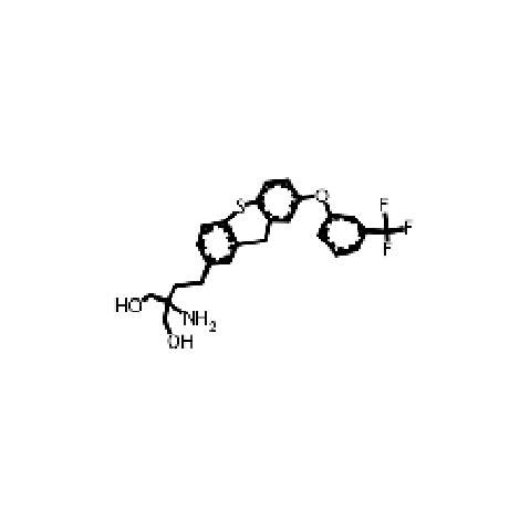 NC(CO)(CO)CCc1ccc2c(c1)Cc1cc(Oc3cccc(C(F)(F)F)c3)ccc1S2